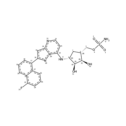 NS(=O)(=O)OC[C@H]1C[C@@H](Nc2ccnc3cc(-c4cccc5c(F)cccc45)nn23)[C@H](O)[C@@H]1O